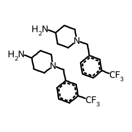 NC1CCN(Cc2cccc(C(F)(F)F)c2)CC1.NC1CCN(Cc2cccc(C(F)(F)F)c2)CC1